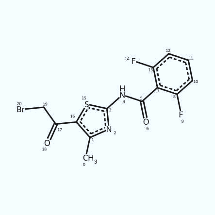 Cc1nc(NC(=O)c2c(F)cccc2F)sc1C(=O)CBr